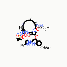 COc1ccc2c(O[C@@H]3C[C@H]4C(=O)N[C@]5(C(=O)NS(=O)(=O)C6(C)CC6)C[C@H]5/C=C\CC[C@@H](C)C[C@@H](C)[C@H](NC(=O)O)C(=O)N4C3)cc(-n3ccc(C(C)C)n3)nc2c1